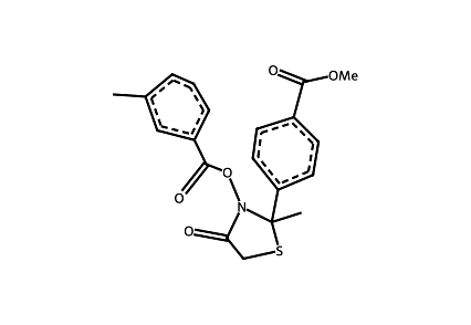 COC(=O)c1ccc(C2(C)SCC(=O)N2OC(=O)c2cccc(C)c2)cc1